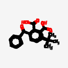 CC(C)(C)c1ccc(C(=O)c2ccccc2)c(C(=O)O)c1C(=O)O